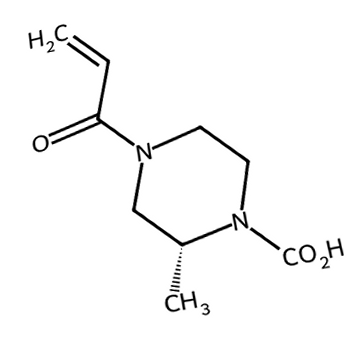 C=CC(=O)N1CCN(C(=O)O)[C@H](C)C1